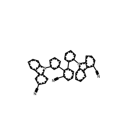 N#Cc1ccc2c(c1)c1ccccc1n2-c1cccc(-c2c(C#N)cccc2-c2ccccc2-n2c3ccccc3c3c(C#N)cccc32)c1